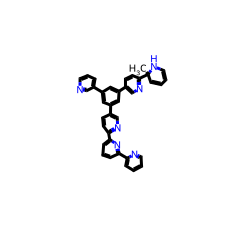 CC1(c2ccc(-c3cc(-c4cccnc4)cc(-c4ccc(-c5cccc(-c6ccccn6)n5)nc4)c3)cn2)C=CC=CN1